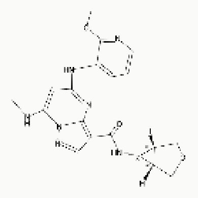 CNc1cc(Nc2cccnc2OC)nc2c(C(=O)N[C@@H]3[C@@H]4COC[C@@H]43)cnn12